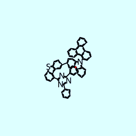 c1ccc(-c2nc(-c3ccccc3)nc(-c3cccc4sc5ccc(-c6ccc7c(c6)c6ccccc6n7-c6cccc7c8ccccc8c8ccccc8c67)cc5c34)n2)cc1